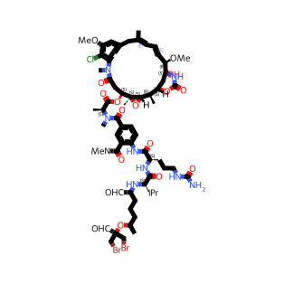 CNC(=O)c1cc(C(=O)N(C)[C@@H](C)C(=O)O[C@H]2CC(=O)N(C)c3cc(cc(OC)c3Cl)C/C(C)=C/C=C/[C@@H](OC)[C@@]3(O)C[C@H](OC(=O)N3)[C@@H](C)[C@@H]3O[C@@]23C)ccc1NC(=O)[C@H](CCCNC(N)=O)NC(=O)[C@@H](NC(C=O)CCCC(C)OC(C=O)(CBr)CBr)C(C)C